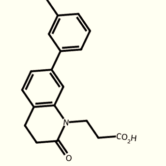 Cc1cccc(-c2ccc3c(c2)N(CCC(=O)O)C(=O)CC3)c1